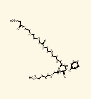 CCCCCCCCCCCC(=O)NCCOCCOCC(=O)NCCOCCOCC(=O)N[C@H](Cc1ccccc1)C(=O)NCCOCCOCC(=O)O